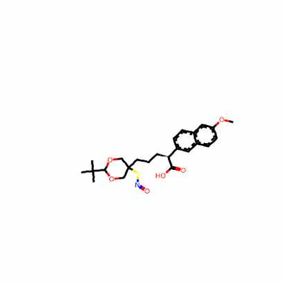 COc1ccc2cc([C@H](CCCC3(SN=O)COC(C(C)(C)C)OC3)C(=O)O)ccc2c1